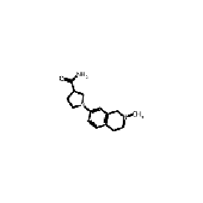 CN1CCc2ccc(N3CCC(C(N)=O)C3)cc2C1